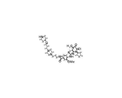 CC[C@@H]1C(=O)N(C)c2cnc(Nc3ccc(C(=O)NCCCN4CCN(CCCOC5CCNCC5)CC4)cc3OC)nc2N1C1CCCC1